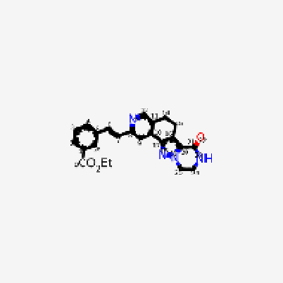 CCOC(=O)c1cccc(C=Cc2cc3c(cn2)CCc2c-3nn3c2C(=O)NCC3)c1